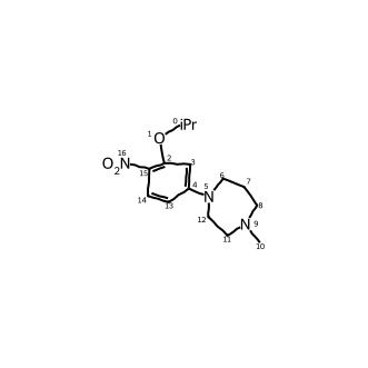 CC(C)Oc1cc(N2CCCN(C)CC2)ccc1[N+](=O)[O-]